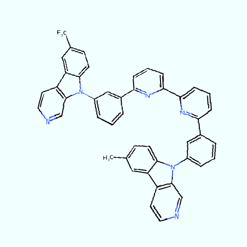 Cc1ccc2c(c1)c1ccncc1n2-c1cccc(-c2cccc(-c3cccc(-c4cccc(-n5c6ccc(C(F)(F)F)cc6c6ccncc65)c4)n3)n2)c1